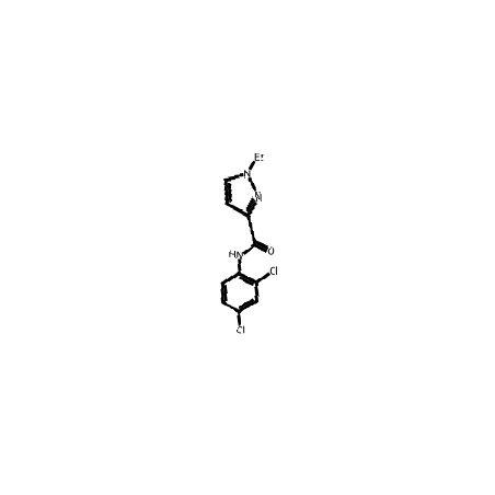 CCn1ccc(C(=O)Nc2ccc(Cl)cc2Cl)n1